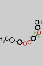 Cc1ccc(OC(F)(F)c2ccc(OCOc3ccc(C4CCC(C)CC4)cc3)cc2)cc1